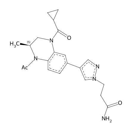 CC(=O)N1c2ccc(-c3cnn(CCC(N)=O)c3)cc2N(C(=O)C2CC2)C[C@@H]1C